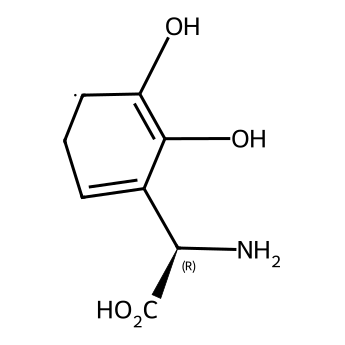 N[C@@H](C(=O)O)C1=CC[CH]C(O)=C1O